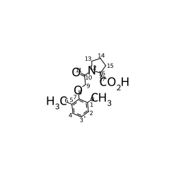 Cc1c[c]cc(C)c1OCC(=O)N1CCC[C@H]1C(=O)O